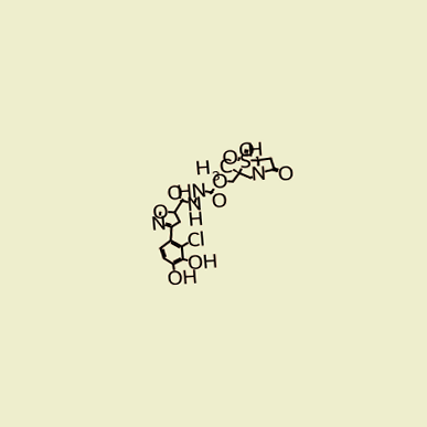 C[C@]1(COC(=O)NNC(=O)C2CC(c3ccc(O)c(O)c3Cl)=NO2)CN2C(=O)C[C@H]2S1(=O)=O